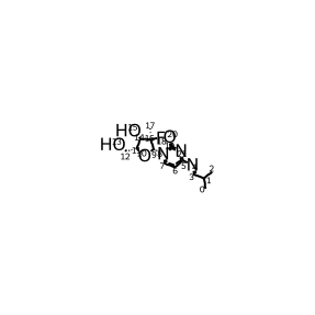 CC(C)/C=N/c1ccn([C@@H]2O[C@H](CO)[C@@H](O)[C@@]2(C)F)c(=O)n1